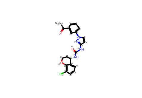 CNC(=O)c1cccc(-n2ccc(NC(=O)N[C@H]3CCOc4c(Cl)cccc43)n2)c1